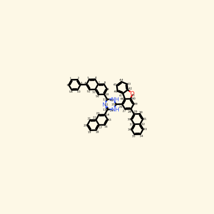 c1ccc(-c2ccc3ccc(C4N=C(c5ccc6ccccc6c5)NC(c5cc(-c6ccc7ccccc7c6)cc6oc7ccccc7c56)N4)cc3c2)cc1